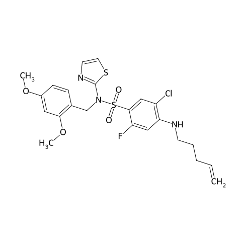 C=CCCCNc1cc(F)c(S(=O)(=O)N(Cc2ccc(OC)cc2OC)c2nccs2)cc1Cl